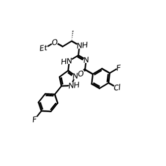 CCOC[C@H](C)N/C(=N/C(=O)c1ccc(Cl)c(F)c1)Nc1cc(-c2ccc(F)cc2)[nH]n1